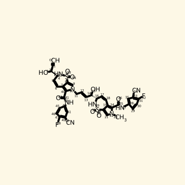 C#CC(O)[C@@H]1C=Cc2c(cn(C/C=C/C(O)[C@@H]3C=Cc4c(cn(C)c4C(=O)Nc4ccc(F)c(C#N)c4)S(=O)(=O)N3)c2C(=O)Nc2ccc(F)c(C#N)c2)S(=O)(=O)N1